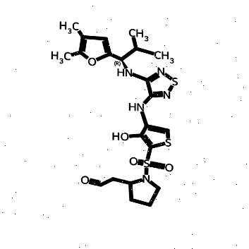 Cc1cc([C@H](Nc2nsnc2Nc2csc(S(=O)(=O)N3CCCC3CC=O)c2O)C(C)C)oc1C